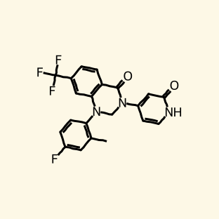 Cc1cc(F)ccc1N1CN(c2cc[nH]c(=O)c2)C(=O)c2ccc(C(F)(F)F)cc21